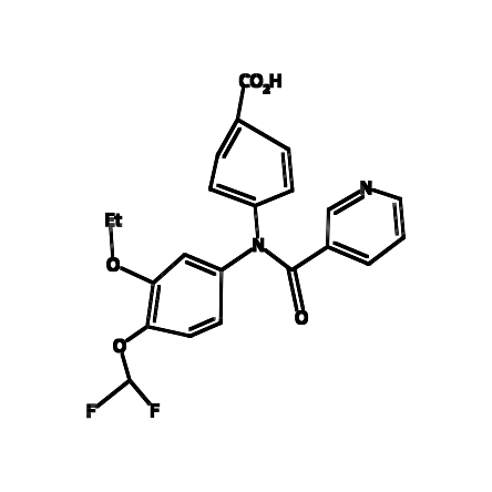 CCOc1cc(N(C(=O)c2cccnc2)c2ccc(C(=O)O)cc2)ccc1OC(F)F